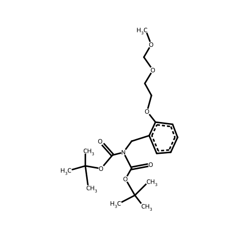 COCOCCOc1ccccc1CN(C(=O)OC(C)(C)C)C(=O)OC(C)(C)C